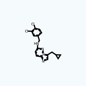 Clc1ccc(CNc2ccc3ncc(CC4CC4)n3n2)cc1Cl